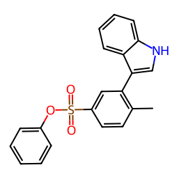 Cc1ccc(S(=O)(=O)Oc2ccccc2)cc1-c1c[nH]c2ccccc12